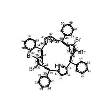 Brc1c(Br)/c2[nH]/c1=C(/c1ccccc1)c1ccc([nH]1)/C(c1ccccc1)=c1\[nH]/c(c(Br)c1Br)=C(\c1ccccc1)c1ccc([nH]1)\C=2c1ccccc1